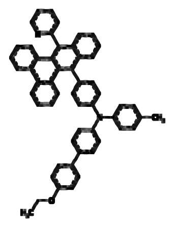 CCOc1ccc(-c2ccc(N(c3ccc(C)cc3)c3ccc(-c4c5ccccc5c(-c5ccccn5)c5c6ccccc6c6ccccc6c45)cc3)cc2)cc1